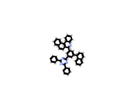 c1ccc(-c2nc(-c3ccccc3)nc(-c3cc(-c4cccc5ccccc45)cc(-c4nc5ccccc5c5c4ccc4ccccc45)c3)n2)cc1